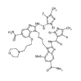 CCn1nc(C)c(F)c1C(=O)Nc1nc2cc(C(N)=O)cc(OCCCN3CCOCC3)c2n1CC=CCn1c(NC(=O)c2c(F)c(C)nn2CC)nc2cc(C(N)=O)cc(SC)c21